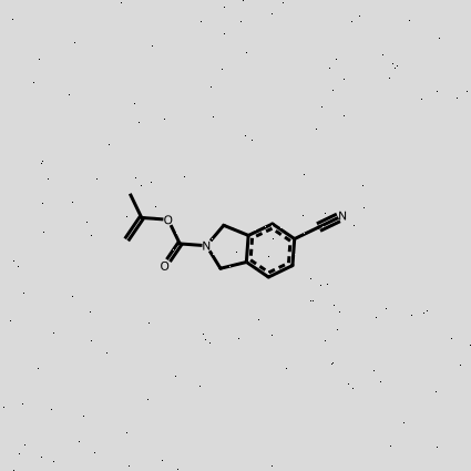 C=C(C)OC(=O)N1Cc2ccc(C#N)cc2C1